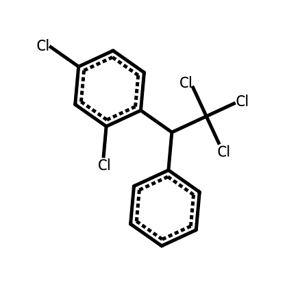 Clc1ccc(C(c2ccccc2)C(Cl)(Cl)Cl)c(Cl)c1